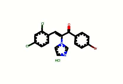 Cl.O=C(C(=Cc1ccc(Cl)cc1Cl)n1ccnc1)c1ccc(Br)cc1